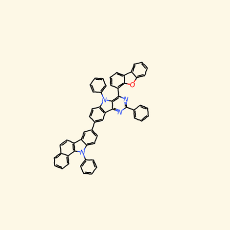 c1ccc(-c2nc(-c3cccc4c3oc3ccccc34)c3c(n2)c2cc(-c4ccc5c(c4)c4ccc6ccccc6c4n5-c4ccccc4)ccc2n3-c2ccccc2)cc1